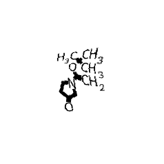 C=C(OC(C)(C)C)N1CCC(=O)C1